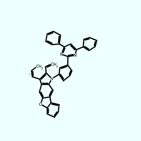 C=Cc1c(/C=C\C)c2cc3oc4ccccc4c3cc2n1-c1cccc(-c2nc(-c3ccccc3)cc(-c3ccccc3)n2)c1